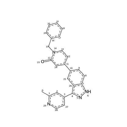 Cc1cc(-c2n[nH]c3ccc(-c4ccn(Cc5ccccc5)c(=O)c4)cc23)ccn1